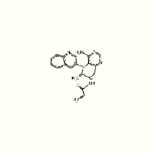 C=CC(=O)N[C@H]1Cc2ncnc(N)c2N(c2cnc3ccccc3c2)C1=C